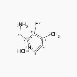 Cc1ccnc(CN)c1F.Cl